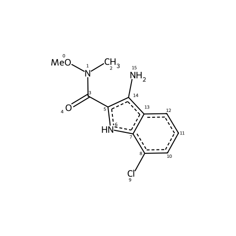 CON(C)C(=O)c1[nH]c2c(Cl)cccc2c1N